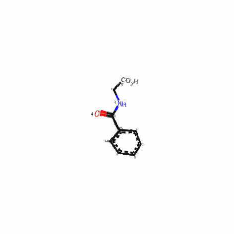 O=C(O)CNC(=O)c1cc[c]cc1